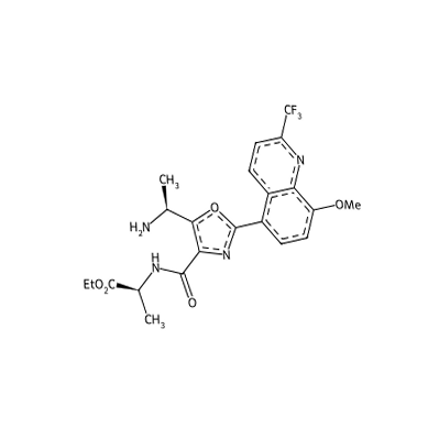 CCOC(=O)[C@H](C)NC(=O)c1nc(-c2ccc(OC)c3nc(C(F)(F)F)ccc23)oc1[C@H](C)N